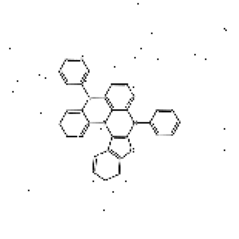 C1=Cc2c(oc3c2B2C4=CCCC=C4N(c4ccccc4)c4cccc(c42)N3c2ccccc2)CC1